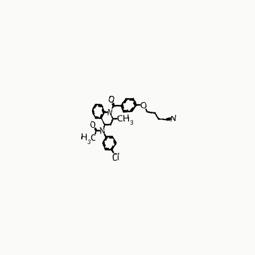 CC(=O)N(c1ccc(Cl)cc1)C1CC(C)N(C(=O)c2ccc(OCCCC#N)cc2)c2ccccc21